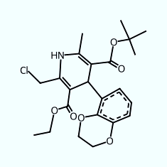 CCOC(=O)C1=C(CCl)NC(C)=C(C(=O)OC(C)(C)C)C1c1cccc2c1OCCO2